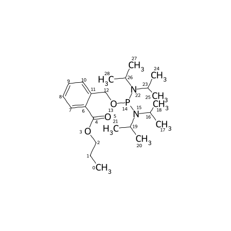 CCCOC(=O)c1ccccc1COP(N(C(C)C)C(C)C)N(C(C)C)C(C)C